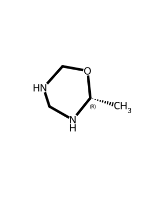 C[C@@H]1NCNCO1